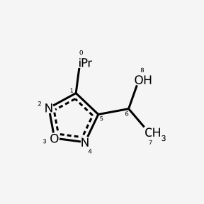 CC(C)c1nonc1C(C)O